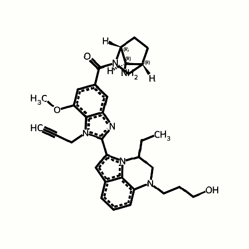 C#CCn1c(-c2cc3cccc4c3n2C(CC)CN4CCCO)nc2cc(C(=O)N3C[C@H]4CC[C@@H]3[C@@H]4N)cc(OC)c21